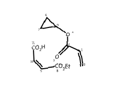 C=CC(=O)OC1CC1.CCOC(=O)/C=C\C(=O)O